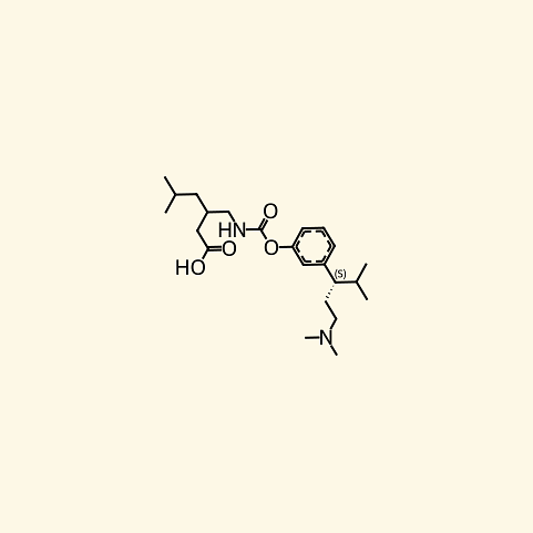 CC(C)CC(CNC(=O)Oc1cccc([C@@H](CCN(C)C)C(C)C)c1)CC(=O)O